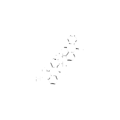 O=c1c2ccccc2c(=O)c2c1ccc1[nH]c3c(ccc4c(=O)c5c(S)cccc5c(=O)c43)[nH]c12